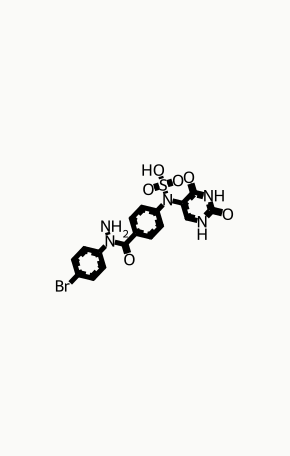 NN(C(=O)c1ccc(N(c2c[nH]c(=O)[nH]c2=O)S(=O)(=O)O)cc1)c1ccc(Br)cc1